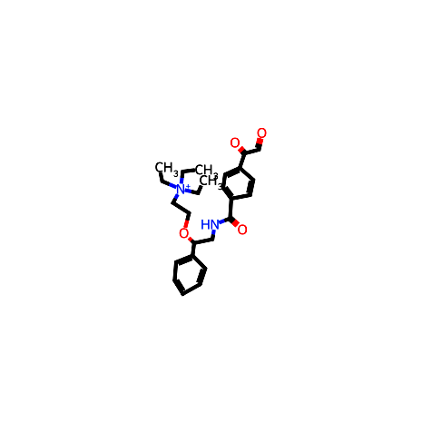 CC[N+](CC)(CC)CCOC(CNC(=O)c1ccc(C(=O)C=O)cc1)c1ccccc1